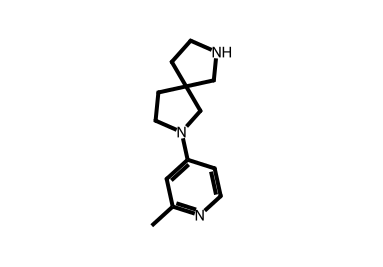 Cc1cc(N2CCC3(CCNC3)C2)ccn1